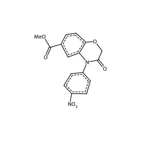 COC(=O)c1ccc2c(c1)N(c1ccc([N+](=O)[O-])cc1)C(=O)CO2